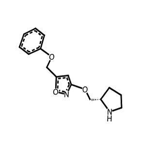 c1ccc(OCc2cc(OC[C@@H]3CCCN3)no2)cc1